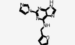 c1coc(CNc2nc(-n3ccnc3)nc3[nH]cnc23)c1